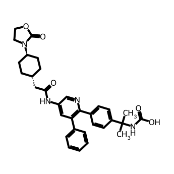 CC(C)(NC(=O)O)c1ccc(-c2ncc(NC(=O)C[C@H]3CC[C@H](N4CCOC4=O)CC3)cc2-c2ccccc2)cc1